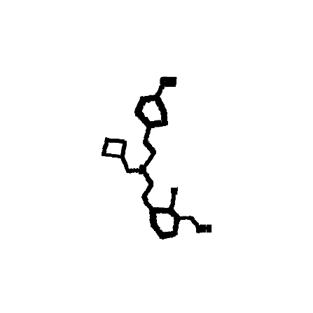 OCc1cccc(CCN(CCc2ccc(O)cc2)CC2CCC2)c1F